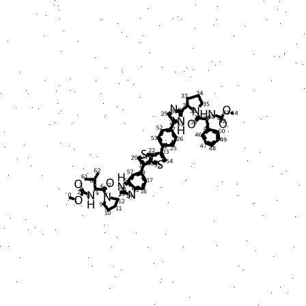 COC(=O)N[C@H](C(=O)N1CCC[C@H]1c1nc2ccc(-c3csc4c(-c5ccc(-c6cnc(C7CCCN7C(=O)[C@H](NC(=O)OC)c7ccccc7)[nH]6)cc5)csc34)cc2[nH]1)C(C)C